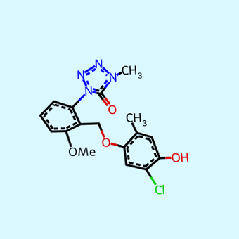 COc1cccc(-n2nnn(C)c2=O)c1COc1cc(Cl)c(O)cc1C